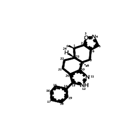 C[C@H]1c2oncc2C[C@@]2(C)c3n[nH]c(-c4ccccc4)c3CC[C@H]12